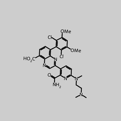 COc1cc(OC)c(Cl)c(-c2ccc(C(=O)O)c3ncc(-c4ccc(N(C)CCN(C)C)nc4C(N)=O)nc23)c1Cl